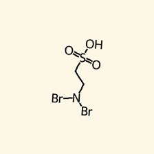 O=S(=O)(O)CCN(Br)Br